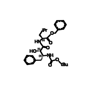 CC(C)C[C@H](NC(=O)[C@@H](O)[C@@H](Cc1ccccc1)NC(=O)OC(C)(C)C)C(=O)OCc1ccccc1